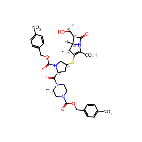 C[C@@H](O)[C@H]1C(=O)N2C(C(=O)O)=C(S[C@H]3C[C@@H](C(=O)N4CCN(C(=O)OCc5ccc([N+](=O)[O-])cc5)C[C@@H]4C)N(C(=O)OCc4ccc([N+](=O)[O-])cc4)C3)[C@H](C)[C@H]12